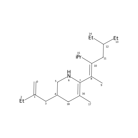 C=C(CC)CC1CNC(/C(C)=C(/CC(CC)CC)C(C)C)=C(C)C1